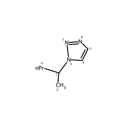 CCC[C](C)n1ccnn1